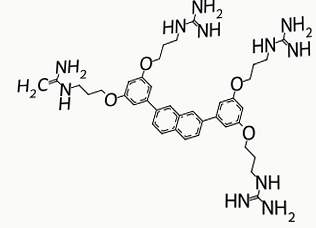 C=C(N)NCCCOc1cc(OCCCNC(=N)N)cc(-c2ccc3ccc(-c4cc(OCCCNC(=N)N)cc(OCCCNC(=N)N)c4)cc3c2)c1